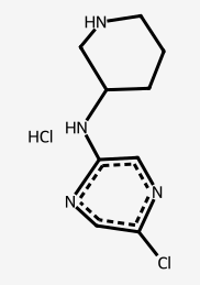 Cl.Clc1cnc(NC2CCCNC2)cn1